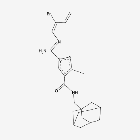 C=C/C(Br)=C\N=C(/N)n1cc(C(=O)NCC23CC4CC(CC(C4)C2)C3)c(C)n1